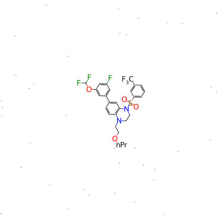 CCCOCCN1CCN(S(=O)(=O)c2cccc(C(F)(F)F)c2)c2cc(-c3cc(F)cc(OC(F)F)c3)ccc21